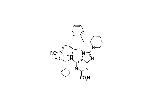 CC(Nc1nc(C(=O)O)nc2nc(N3CCCCC3Cc3ccccc3)n(Cc3ccc(C(F)(F)F)cc3)c12)C1CCC1